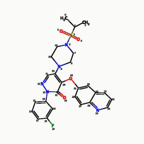 CC(C)S(=O)(=O)N1CCN(c2cnn(-c3cccc(F)c3)c(=O)c2Oc2ccc3ncccc3c2)CC1